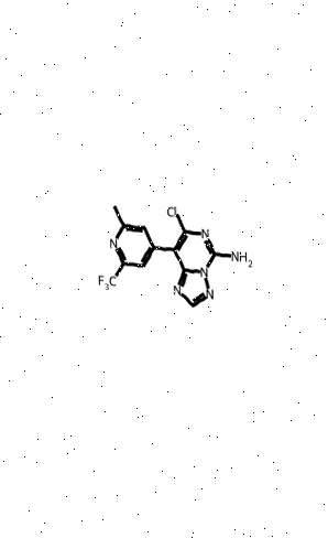 Cc1cc(-c2c(Cl)nc(N)n3ncnc23)cc(C(F)(F)F)n1